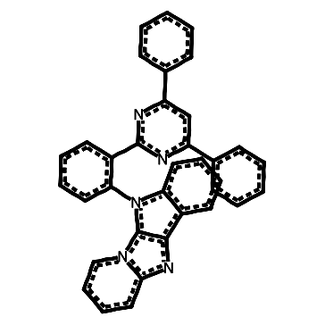 c1ccc(-c2cc(-c3ccccc3)nc(-c3ccccc3-n3c4ccccc4c4nc5ccccn5c43)n2)cc1